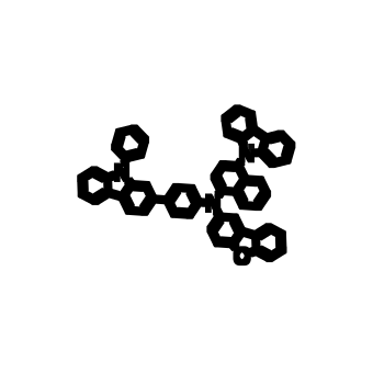 c1ccc(-n2c3ccccc3c3ccc(-c4ccc(N(c5ccc6oc7ccccc7c6c5)c5ccc(-n6c7ccccc7c7ccccc76)c6ccccc56)cc4)cc32)cc1